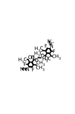 CC(C)c1c(F)c(N=[N+]=[N-])c(F)c(C(C)C)c1C(=O)OCCOC(=O)c1c(C(C)C)c(F)c(N=[N+]=[N-])c(F)c1C(C)C